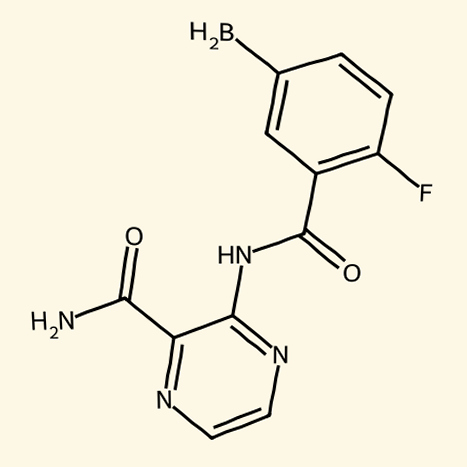 Bc1ccc(F)c(C(=O)Nc2nccnc2C(N)=O)c1